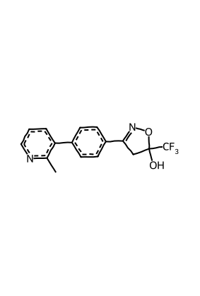 Cc1ncccc1-c1ccc(C2=NOC(O)(C(F)(F)F)C2)cc1